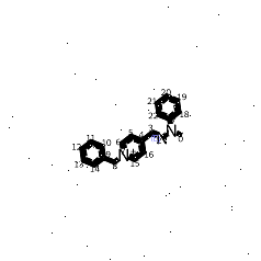 CN(/N=C/c1cc[n+](Cc2ccccc2)cc1)c1ccccc1